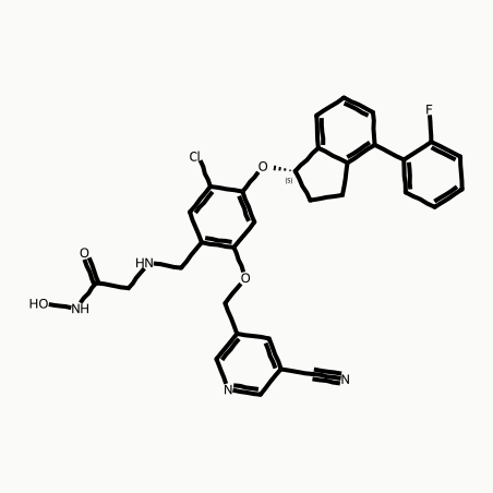 N#Cc1cncc(COc2cc(O[C@H]3CCc4c(-c5ccccc5F)cccc43)c(Cl)cc2CNCC(=O)NO)c1